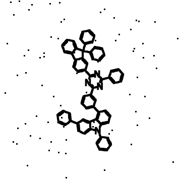 c1ccc(-c2ccc3c(c2)c2c(-c4cccc(-c5nc(-c6ccccc6)nc(-c6ccc7c(c6)C(c6ccccc6)(c6ccccc6)c6ccccc6-7)n5)c4)cccc2n3-c2ccccc2)cc1